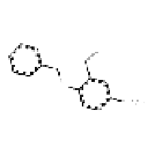 CNc1ccc(OCc2ccccc2)c(CI)c1